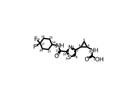 O=C(O)NC1CC1c1csc(C(=O)NC2CCC(F)(F)CC2)n1